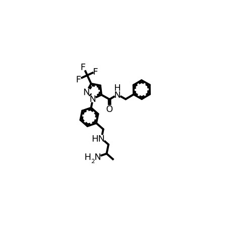 CC(N)CNCc1cccc(-n2nc(C(F)(F)F)cc2C(=O)NCc2ccccc2)c1